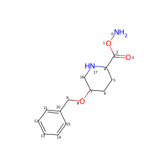 NOC(=O)C1CCC(OCc2ccccc2)CN1